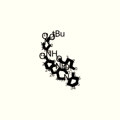 Cc1ccc(C(=O)Nc2cc(C(=O)N[C@@H]3CCN(C(=O)OC(C)(C)C)C3)ccc2CC2CCCN(c3ccccc3C)CC2)o1